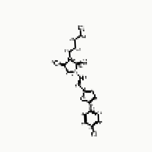 O=C1CN(N=Cc2ccc(-c3ccc(Cl)cc3)o2)C(=O)N1CCCCCl